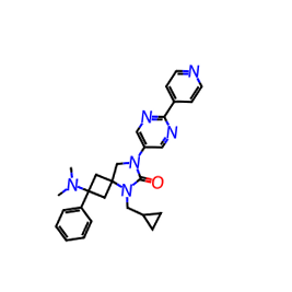 CN(C)C1(c2ccccc2)CC2(CN(c3cnc(-c4ccncc4)nc3)C(=O)N2CC2CC2)C1